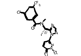 CCn1nc(-n2ncnc2[C@H](C)N(C)C(=O)c2cc(Cl)cc(C(F)(F)F)c2)ccc1=O